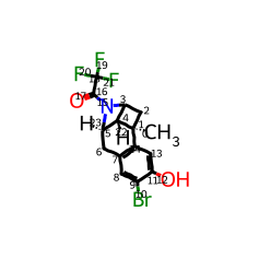 C[C@@]12CC3[C@H]1[C@@H](Cc1cc(Br)c(O)cc12)N3C(=O)C(F)(F)F